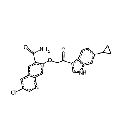 NC(=O)c1cc2cc(Cl)cnc2cc1OCC(=O)c1c[nH]c2cc(C3CC3)ccc12